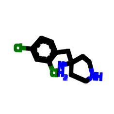 NC1(Cc2ccc(Cl)cc2Cl)CCNCC1